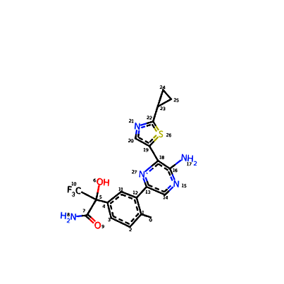 Cc1ccc(C(O)(C(N)=O)C(F)(F)F)cc1-c1cnc(N)c(-c2cnc(C3CC3)s2)n1